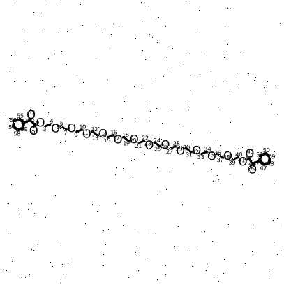 O=C(OCCOCCOCCOCCOCCOCCOCCOCCOCCOCCOCCOCCOCCOC(=O)C(=O)c1ccccc1)C(=O)c1ccccc1